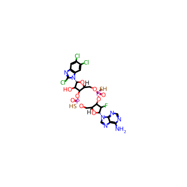 Nc1ncnc2c1ncn2[C@@H]1O[C@@H]2COP(=O)(S)OC3C(O)[C@H](n4c(Cl)nc5cc(Cl)c(Cl)cc54)O[C@@H]3COP(=O)(S)OC2C1F